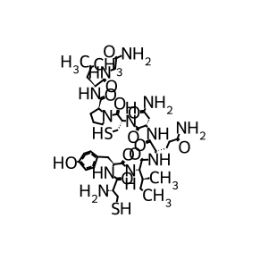 CC[C@H](C)[C@H](NC(=O)[C@H](Cc1ccc(O)cc1)NC(=O)[C@@H](N)CS)C(=O)N[C@@H](CCC(N)=O)C(=O)N[C@@H](CC(N)=O)C(=O)N[C@H](CS)C(=O)N1CCC[C@H]1C(=O)N[C@@H](CC(C)C)C(=O)NCC(N)=O